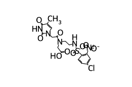 Cc1cn(CC(=O)N(CCNS(=O)(=O)c2ccc(Cl)cc2[N+](=O)[O-])CC(=O)O)c(=O)[nH]c1=O